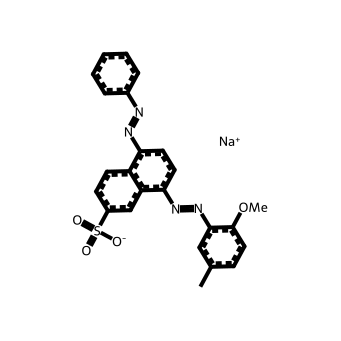 COc1ccc(C)cc1N=Nc1ccc(N=Nc2ccccc2)c2ccc(S(=O)(=O)[O-])cc12.[Na+]